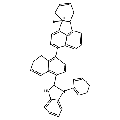 C1=CC(N2c3ccccc3NC2c2ccc(-c3ccc4c5c(cccc35)C3CC=CC[C@@H]43)c3c2C=CCC3)=CCC1